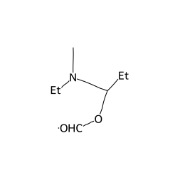 CCC(O[C]=O)N(C)CC